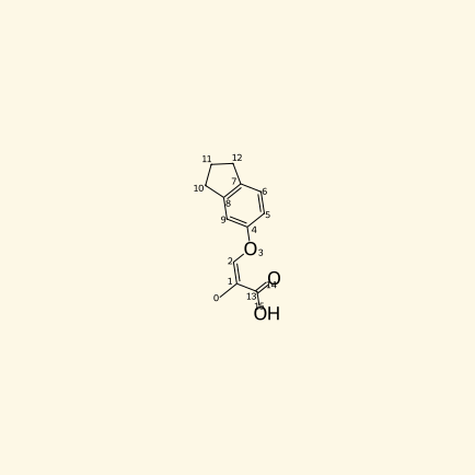 CC(=COc1ccc2c(c1)CCC2)C(=O)O